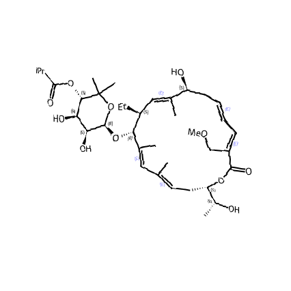 CC[C@H]1/C=C(\C)[C@@H](O)C/C=C/C=C(\COC)C(=O)O[C@H]([C@@H](C)O)C/C=C(C)/C=C(\C)[C@@H]1O[C@@H]1OC(C)(C)[C@@H](OC(=O)C(C)C)[C@H](O)[C@@H]1O